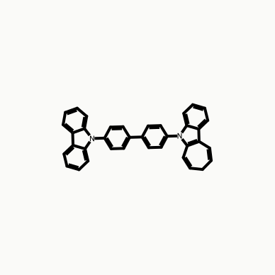 C1=Cc2c(n(-c3ccc(-c4ccc(-n5c6ccccc6c6ccccc65)cc4)cc3)c3ccccc23)C=CC1